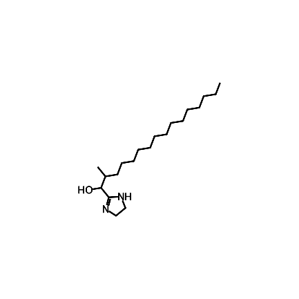 CCCCCCCCCCCCCCC(C)C(O)C1=NCCN1